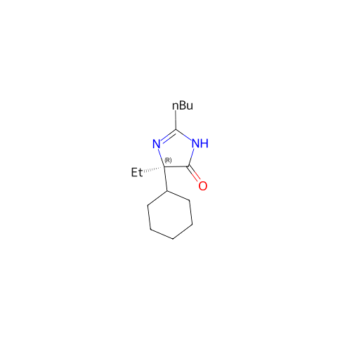 CCCCC1=N[C@](CC)(C2CCCCC2)C(=O)N1